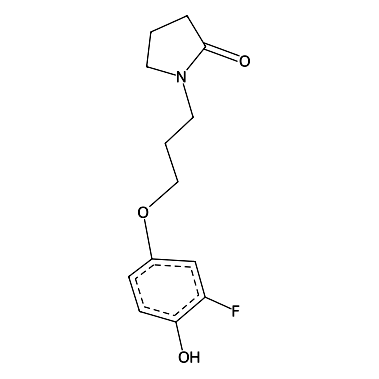 O=C1CCCN1CCCOc1ccc(O)c(F)c1